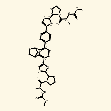 COC(=O)N[C@@H](C)C(=O)N1CCCC1c1ncc(-c2ccc(-c3ccc(-c4cnc(C5CCCN5C(=O)[C@@H](C)NC(=O)OC)[nH]4)cc3)c3c2C2CCC3C2)[nH]1